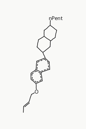 CC=CCOc1ccc2cc(C3CCC4CC(CCCCC)CCC4C3)ccc2c1